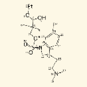 CCOC(O)C(C)(C)COS(=O)(=O)n1cc(CCN(C)C)c2ccc(I)cc21